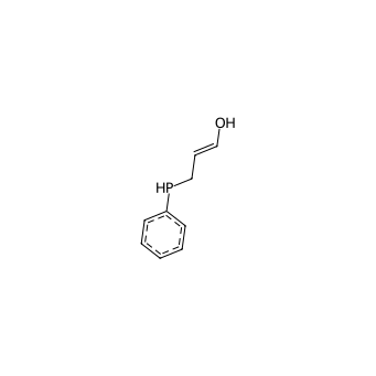 OC=CCPc1ccccc1